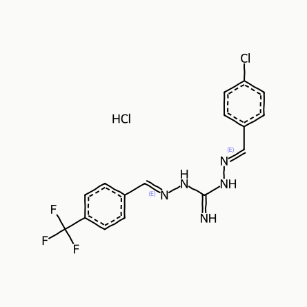 Cl.N=C(N/N=C/c1ccc(Cl)cc1)N/N=C/c1ccc(C(F)(F)F)cc1